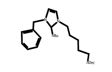 CCCCCCCCCCCCCCCN1C=CN(Cc2ccccc2)C1CCCC